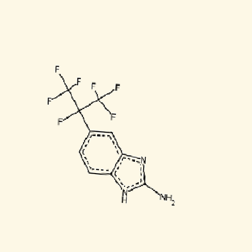 Nc1nc2cc(C(F)(C(F)(F)F)C(F)(F)F)ccc2[nH]1